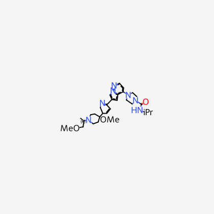 COC[C@@H](C)N1CCC(OC)(C2C=CC(c3cc4c(N5CCN(C(=O)NC(C)C)CC5)ccnn4c3)=NC2)CC1